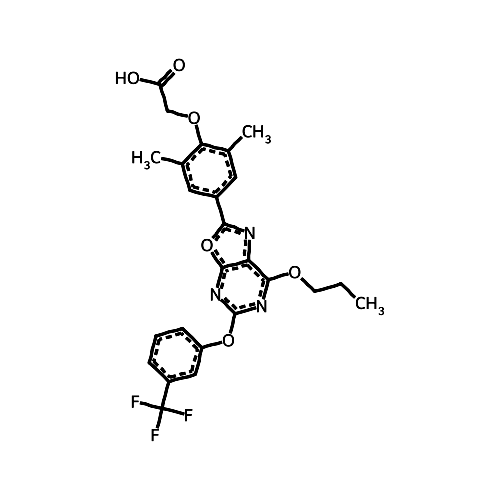 CCCOc1nc(Oc2cccc(C(F)(F)F)c2)nc2oc(-c3cc(C)c(OCC(=O)O)c(C)c3)nc12